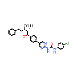 O=C(Nc1ccc(Cl)cc1)Nc1ncc(-c2ccc(C(=O)CC(CCc3ccccc3)C(=O)O)cc2)cn1